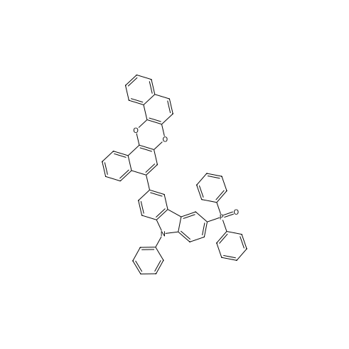 O=P(c1ccccc1)(c1ccccc1)c1ccc2c(c1)c1cc(-c3cc4c(c5ccccc35)Oc3c(ccc5ccccc35)O4)ccc1n2-c1ccccc1